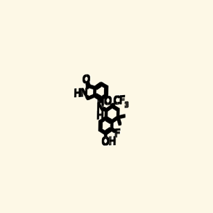 CC1(C)CC(O)(C(F)(F)F)C(Nc2cccc3c2CNC3=O)c2ccc(O)c(F)c21